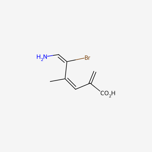 C=C(/C=C(C)\C(Br)=C/N)C(=O)O